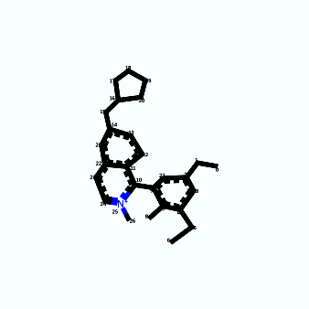 CCc1cc(CC)c(C)c(-c2c3ccc(CC4CCCC4)cc3cc[n+]2C)c1